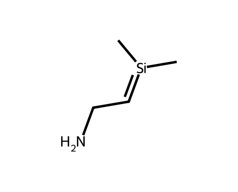 C[Si](C)=CCN